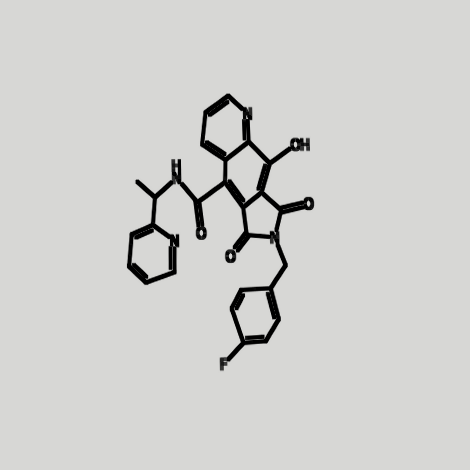 CC(NC(=O)c1c2c(c(O)c3ncccc13)C(=O)N(Cc1ccc(F)cc1)C2=O)c1ccccn1